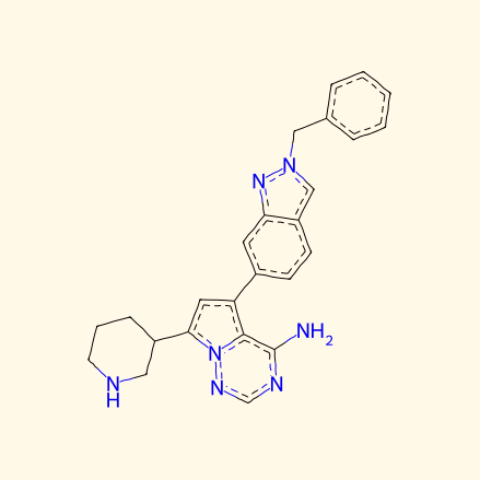 Nc1ncnn2c(C3CCCNC3)cc(-c3ccc4cn(Cc5ccccc5)nc4c3)c12